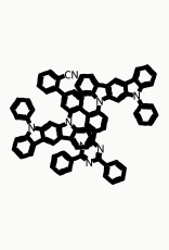 N#Cc1ccccc1-c1ccc(-c2cc(-c3nc(-c4ccccc4)nc(-c4ccccc4)n3)ccc2-n2c3ccccc3c3cc4c5ccccc5n(-c5ccccc5)c4cc32)c(-n2c3ccccc3c3cc4c5ccccc5n(-c5ccccc5)c4cc32)c1